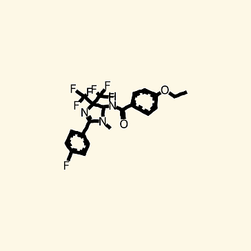 CCOc1ccc(C(=O)NC2N(C)C(c3ccc(F)cc3)=NC2(C(F)(F)F)C(F)(F)F)cc1